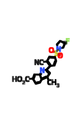 Cc1cc(-c2ccc(S(=O)(=O)N3CC[C@H](F)C3)cc2C#N)nc2cc(C(=O)O)ccc12